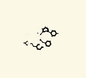 CCOC(=O)C[C@@H]1NC(=O)C(n2cc(CCN3CC(F)C3)c(C(F)(F)F)cc2=O)c2cccc(c2)Oc2cc(C(F)(F)F)cc(C)c2-c2cc1c(F)c(C(F)(F)F)c2